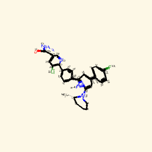 C[C@H]1CCCN1c1cc(-c2ccc(F)cc2)cc(-c2ccc(-c3ncc(C(N)=O)cc3Cl)cc2)n1